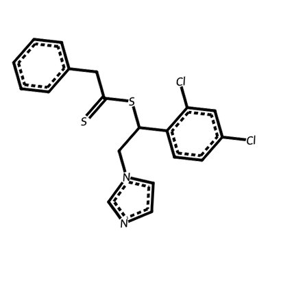 S=C(Cc1ccccc1)SC(Cn1ccnc1)c1ccc(Cl)cc1Cl